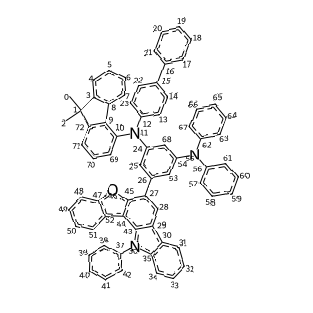 CC1(C)c2ccccc2-c2c(N(c3ccc(-c4ccccc4)cc3)c3cc(-c4cc5c6ccccc6n(-c6ccccc6)c5c5c4oc4ccccc45)cc(N(c4ccccc4)c4ccccc4)c3)cccc21